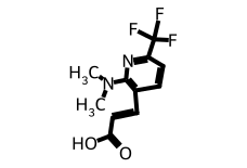 CN(C)c1nc(C(F)(F)F)ccc1C=CC(=O)O